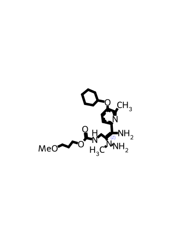 COCCCOC(=O)NC/C(=C(/N)c1ccc(OC2CCCCC2)c(C)n1)N(C)N